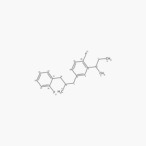 CCC(C)c1cc(CC(C)Cc2ccccc2F)ccc1F